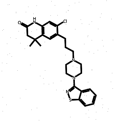 CC1(C)CC(=O)Nc2cc(Cl)c(CCCN3CCN(c4nsc5ccccc45)CC3)cc21